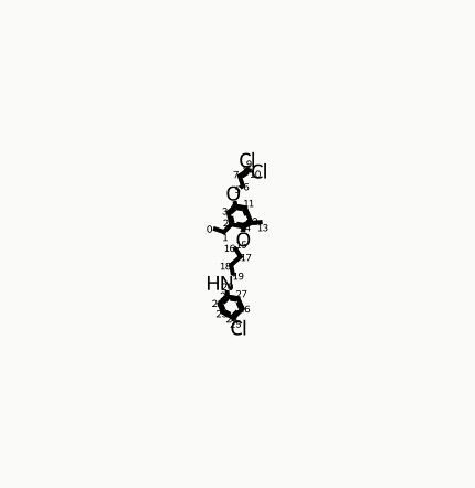 CCc1cc(OCC=C(Cl)Cl)cc(C)c1OCCCCNc1ccc(Cl)cc1